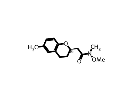 CON(C)C(=O)C[C@H]1CCc2cc(C)ccc2O1